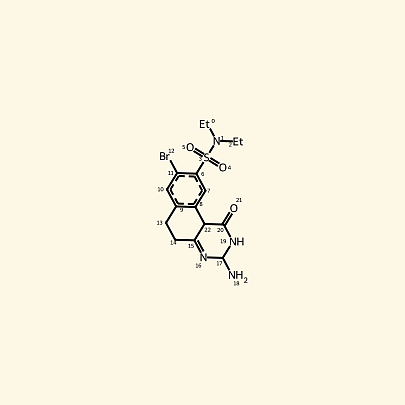 CCN(CC)S(=O)(=O)c1cc2c(cc1Br)CCC1=NC(N)NC(=O)C12